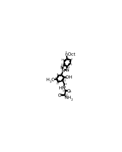 CCCCCCCCc1ccc2nn(-c3cc(C)cc(CNC(=O)C(N)=O)c3O)nc2c1